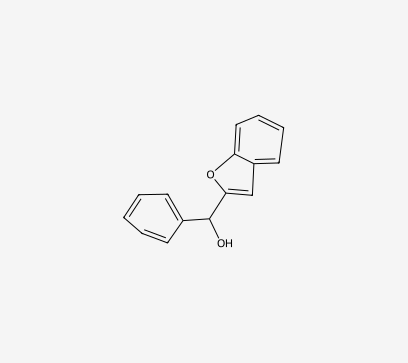 OC(c1ccccc1)c1cc2ccccc2o1